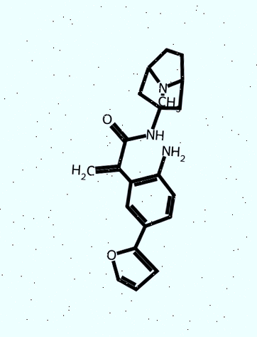 C=C(C(=O)NC1CC2CCC(C1)N2C)c1cc(-c2ccco2)ccc1N